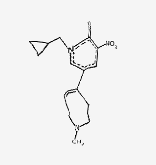 CN1CC=C(c2cc([N+](=O)[O-])c(=O)n(CC3CC3)c2)CC1